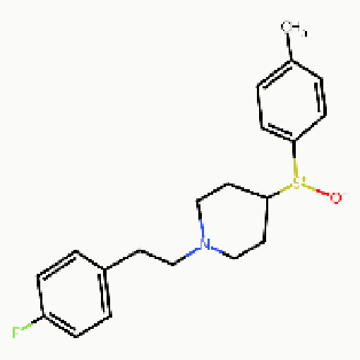 Cc1ccc([S+]([O-])C2CCN(CCc3ccc(F)cc3)CC2)cc1